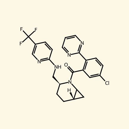 O=C(c1cc(Cl)ccc1-c1ncccn1)N1C2C[C@@H]2CC[C@H]1CNc1ccc(C(F)(F)F)cn1